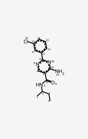 CCC(C)NC(=O)c1cnc(-c2cccc(Cl)c2)nc1N